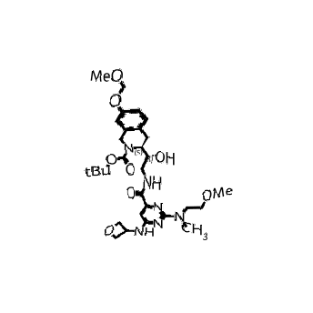 COCCN(C)c1nc(NC2COC2)cc(C(=O)NC[C@@H](O)[C@@H]2Cc3ccc(OCOC)cc3CN2C(=O)OC(C)(C)C)n1